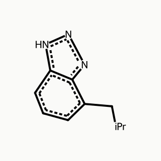 CC(C)Cc1cccc2[nH]nnc12